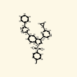 Cc1ccc(S(=O)(=O)n2cc(-c3cncc(C4CC4)n3)c3cc(-c4nnc(-c5ccccc5)s4)ccc32)cc1